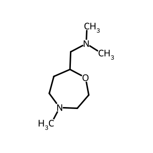 CN(C)CC1CCN(C)CCO1